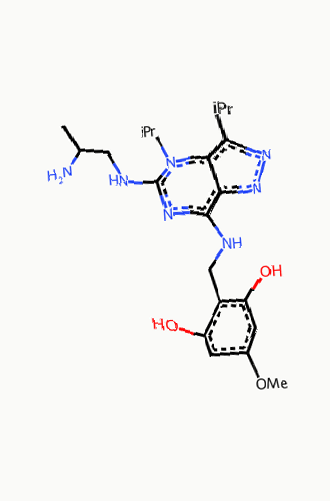 COc1cc(O)c(CNc2nc(NCC(C)N)n(C(C)C)c3c(C(C)C)nnc2-3)c(O)c1